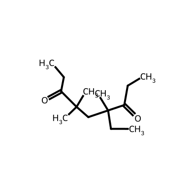 CCC(=O)C(C)(C)CC(C)(CC)C(=O)CC